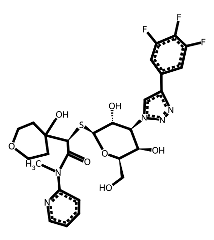 CN(C(=O)[C@H](S[C@@H]1O[C@H](CO)[C@H](O)[C@H](n2cc(-c3cc(F)c(F)c(F)c3)nn2)[C@H]1O)C1(O)CCOCC1)c1ccccn1